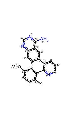 COc1ccc(C)c(-c2ncccc2-c2ccc3ncnc(N)c3c2)c1